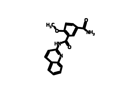 COc1ccc(C(N)=O)cc1C(=O)Nc1ccc2ccccc2n1